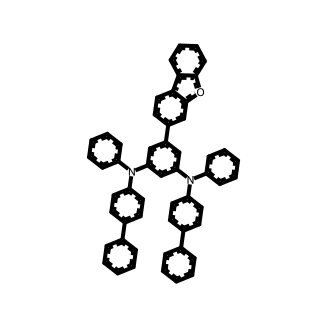 c1ccc(-c2ccc(N(c3ccccc3)c3cc(-c4ccc5c(c4)oc4ccccc45)cc(N(c4ccccc4)c4ccc(-c5ccccc5)cc4)c3)cc2)cc1